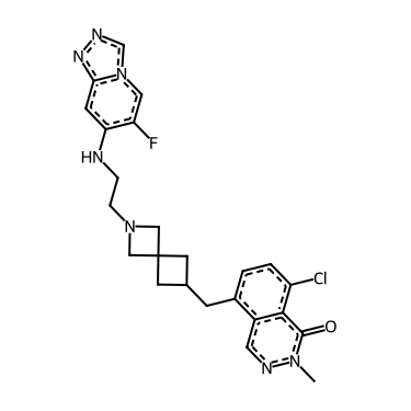 Cn1ncc2c(CC3CC4(C3)CN(CCNc3cc5nncn5cc3F)C4)ccc(Cl)c2c1=O